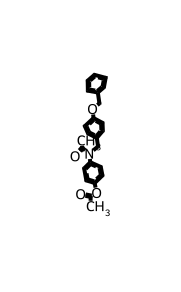 CC(=O)Oc1ccc(N(Cc2ccc(OCc3ccccc3)cc2)C(C)=O)cc1